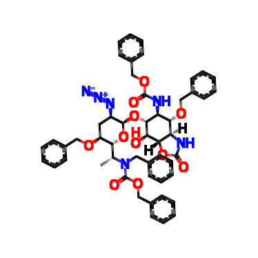 C[C@H]([C@H]1O[C@H](O[C@H]2[C@H](O)[C@H]3OC(=O)N[C@@H]3[C@@H](OCc3ccccc3)[C@@H]2NC(=O)OCc2ccccc2)[C@H](N=[N+]=[N-])C[C@@H]1OCc1ccccc1)N(Cc1ccccc1)C(=O)OCc1ccccc1